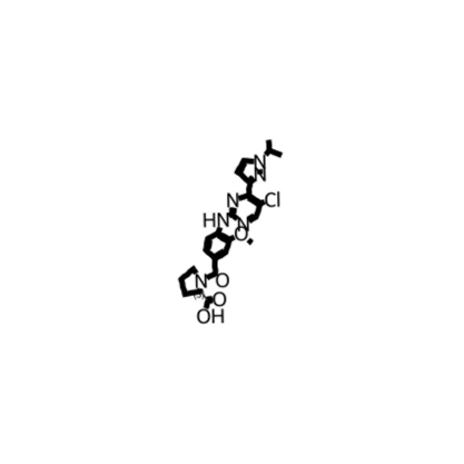 COc1cc(C(=O)N2CCC[C@H]2C(=O)O)ccc1Nc1ncc(Cl)c(-c2ccn(C(C)C)n2)n1